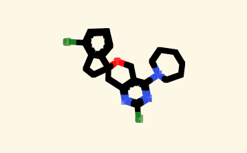 Clc1nc2c(c(N3CCCCCC3)n1)COC1(CCc3c(Cl)cccc31)C2